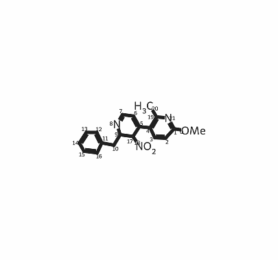 COc1ccc(C2=CC=NC(Cc3ccccc3)C2[N+](=O)[O-])c(C)n1